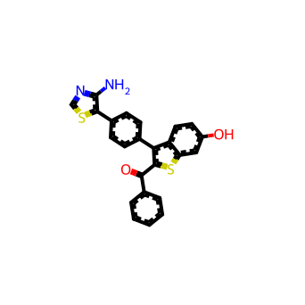 Nc1ncsc1-c1ccc(-c2c(C(=O)c3ccccc3)sc3cc(O)ccc23)cc1